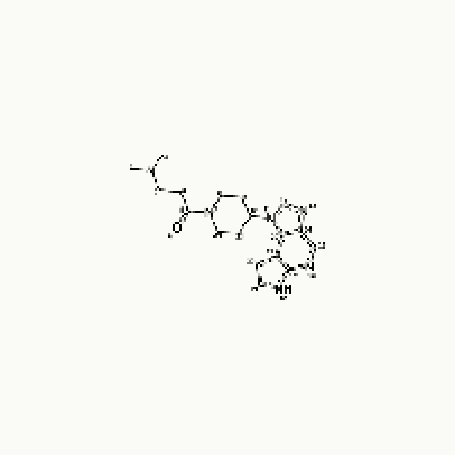 CN(C)CCC(=O)N1CCC(n2cnc3cnc4[nH]ccc4c32)CC1